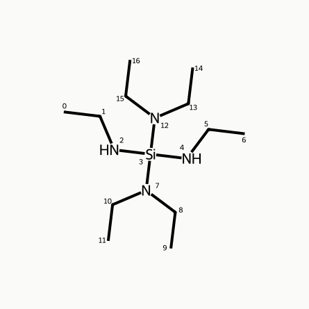 CCN[Si](NCC)(N(CC)CC)N(CC)CC